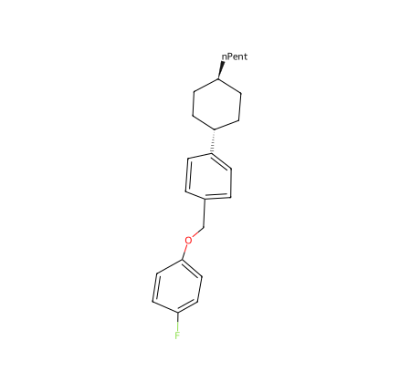 CCCCC[C@H]1CC[C@H](c2ccc(COc3ccc(F)cc3)cc2)CC1